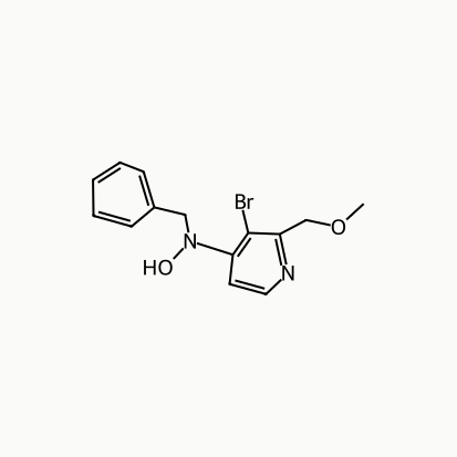 COCc1nccc(N(O)Cc2ccccc2)c1Br